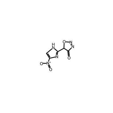 O=C1N=NOC1c1nc([N+](=O)[O-])c[nH]1